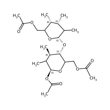 CC(=O)OCC1O[C@@H](OC(C)=O)C(C)[C@@H](C)[C@@H]1O[C@@H]1OC(COC(C)=O)[C@H](C)[C@H](C)C1C